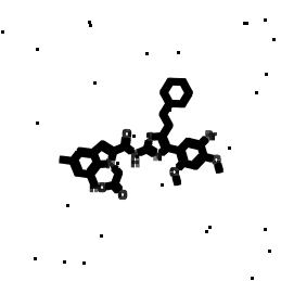 COc1cc(OC)c(-c2nc(NC(=O)c3cc4cc(C)cc(C)c4n3CC(=O)O)sc2CCC2CCCCC2)cc1Br